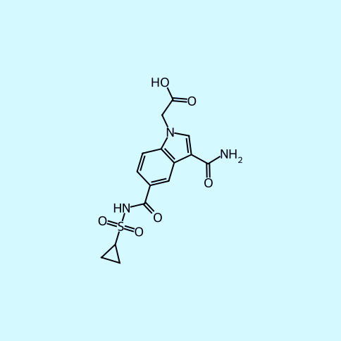 NC(=O)c1cn(CC(=O)O)c2ccc(C(=O)NS(=O)(=O)C3CC3)cc12